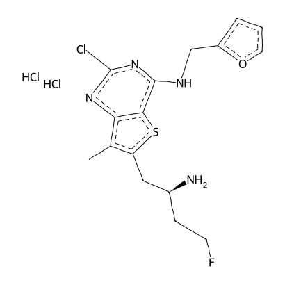 Cc1c(C[C@@H](N)CCF)sc2c(NCc3ccco3)nc(Cl)nc12.Cl.Cl